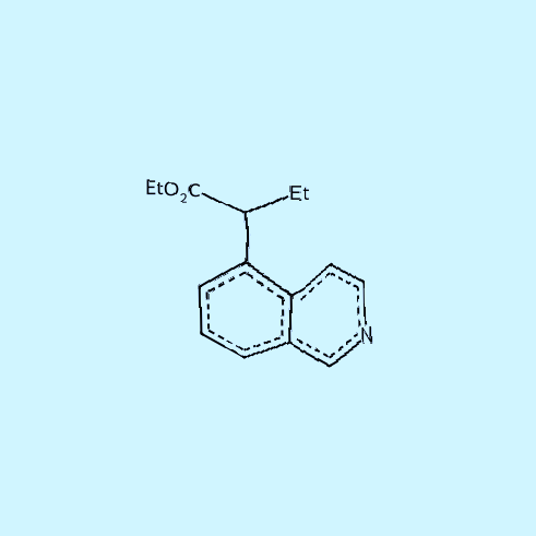 CCOC(=O)C(CC)c1cccc2cnccc12